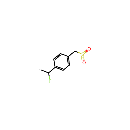 [CH2]C(F)c1ccc(C[SH](=O)=O)cc1